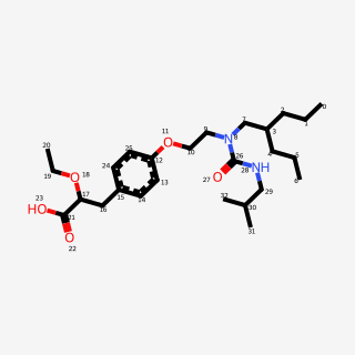 CCCC(CCC)CN(CCOc1ccc(CC(OCC)C(=O)O)cc1)C(=O)NCC(C)C